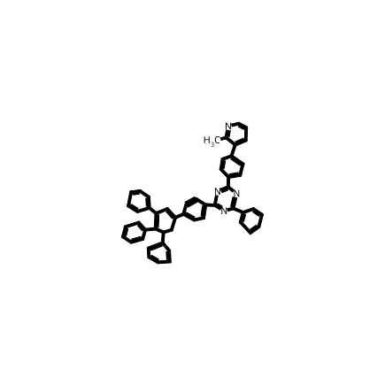 Cc1ncccc1-c1ccc(-c2nc(-c3c#cc(C4=CC(c5ccccc5)=C(c5ccccc5)C(c5ccccc5)C4)cc3)nc(-c3ccccc3)n2)cc1